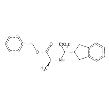 CCOC(=O)C(N[C@@H](C)C(=O)OCc1ccccc1)C1Cc2ccccc2C1